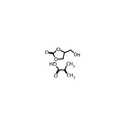 C=C(C)C(=O)O.O=C1OCC(CO)O1